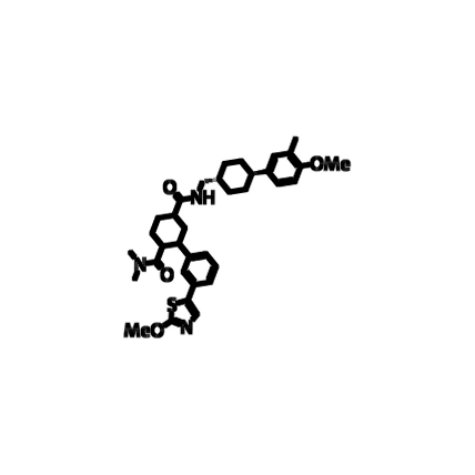 COc1ncc(-c2cccc(C3CC(C(=O)NC[C@H]4CC[C@H](c5ccc(OC)c(C)c5)CC4)CCC3C(=O)N(C)C)c2)s1